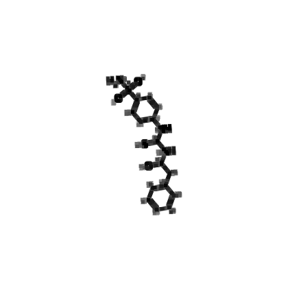 NS(=O)(=O)c1ccc(NC(=S)NC(=O)Cc2ccccc2)cc1